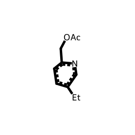 CCc1ccc(COC(C)=O)nc1